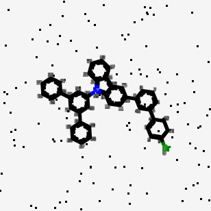 BrC1=CC=C(c2cccc(-c3ccc4c(c3)c3ccccc3n4-c3cc(-c4ccccc4)cc(-c4ccccc4)c3)c2)CC1